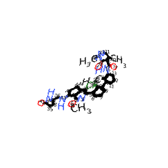 COc1nc(-c2cccc(-c3cccc(NC(=O)c4c(C)cnn(C)c4=O)c3C)c2Cl)cc2c1C(NCC1CCC(=O)N1)CC2